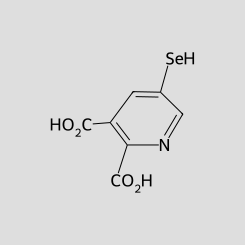 O=C(O)c1cc([SeH])cnc1C(=O)O